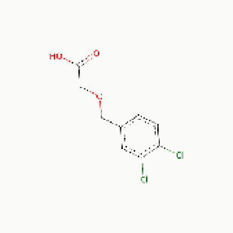 O=C(O)COCc1ccc(Cl)c(Cl)c1